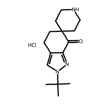 CC(C)(C)n1cc2c(n1)C(=O)C1(CCNCC1)CC2.Cl